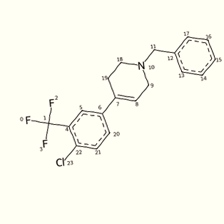 FC(F)(F)c1cc(C2=CCN(Cc3ccccc3)CC2)ccc1Cl